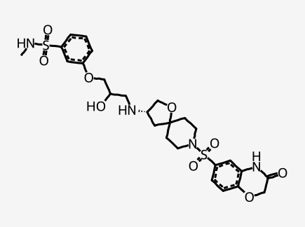 CNS(=O)(=O)c1cccc(OCC(O)CN[C@@H]2COC3(CCN(S(=O)(=O)c4ccc5c(c4)NC(=O)CO5)CC3)C2)c1